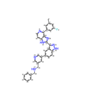 Cc1cc(F)cc(-c2nccc3[nH]c(-c4n[nH]c5ccc(-c6cncc(CNCc7ccccc7)c6)cc45)nc23)c1